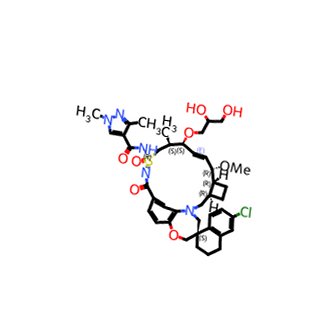 CO[C@H]1/C=C/[C@H](OCC(O)CO)[C@H](C)C[S@@](=O)(NC(=O)c2cn(C)nc2C)=NC(=O)c2ccc3c(c2)N(C[C@@H]2CC[C@H]21)C[C@@]1(CCCc2cc(Cl)ccc21)CO3